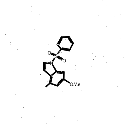 COc1cc(C)c2ccn(S(=O)(=O)c3ccccc3)c2c1